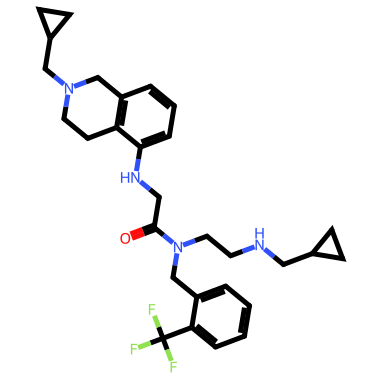 O=C(CNc1cccc2c1CCN(CC1CC1)C2)N(CCNCC1CC1)Cc1ccccc1C(F)(F)F